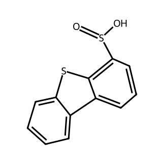 O=S(O)c1cccc2c1sc1ccccc12